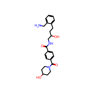 NCc1ccccc1CCC(O)CNC(=O)c1ccc(C(=O)N2CCC(O)CC2)cc1